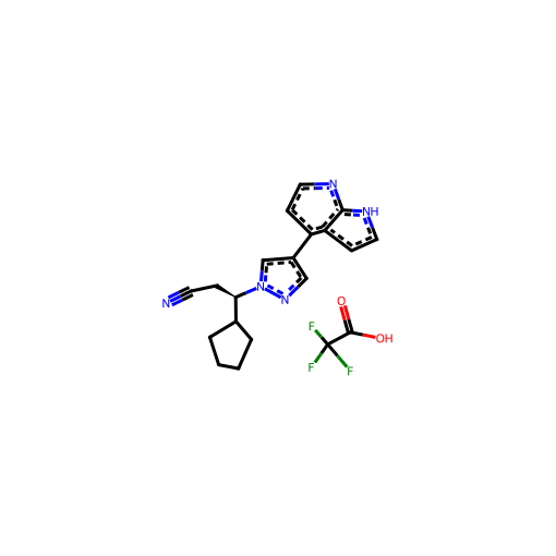 N#CC[C@H](C1CCCC1)n1cc(-c2ccnc3[nH]ccc23)cn1.O=C(O)C(F)(F)F